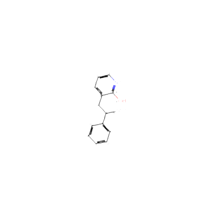 O=C(O)C(Cc1cccnc1O)c1ccccc1